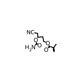 C=C(C)C(=O)OCCC(CC#N)OC(N)=O